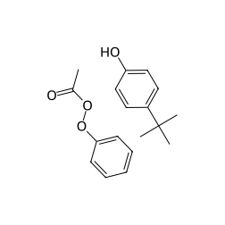 CC(=O)OOc1ccccc1.CC(C)(C)c1ccc(O)cc1